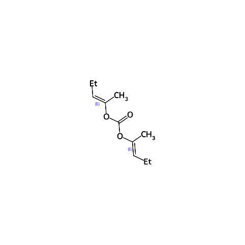 CC/C=C(\C)OC(=O)O/C(C)=C/CC